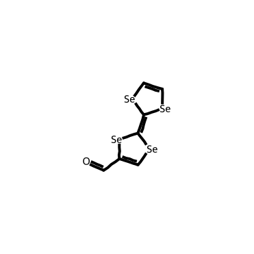 O=CC1=C[Se]C(=C2[Se]C=C[Se]2)[Se]1